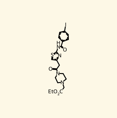 CCOC(=O)CN1CCN(C(=O)Cc2csc(NC(=O)c3ccc(I)cc3)n2)CC1